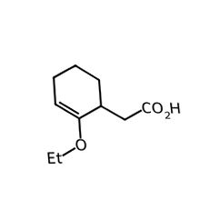 CCOC1=CCCCC1CC(=O)O